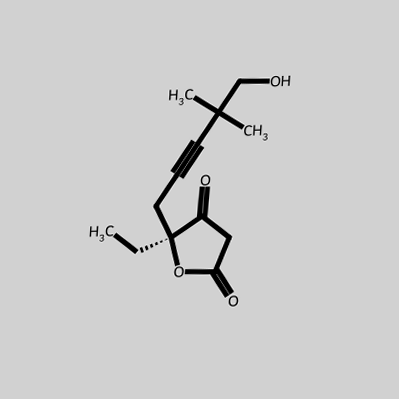 CC[C@@]1(CC#CC(C)(C)CO)OC(=O)CC1=O